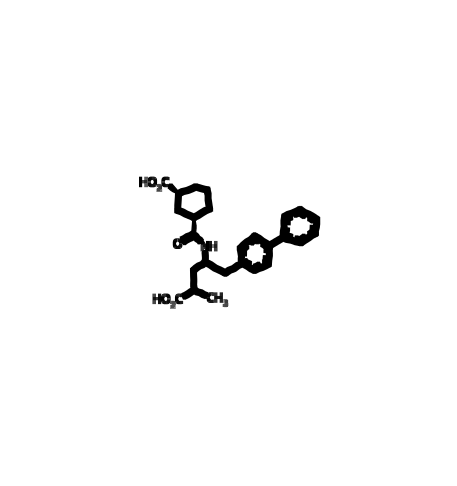 CC(CC(Cc1ccc(-c2ccccc2)cc1)NC(=O)[C@@H]1CCC[C@H](C(=O)O)C1)C(=O)O